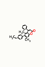 C=Cc1ccc(-c2c(C)cc3oc(=O)cc(-c4ccccc4)c3c2C)cc1